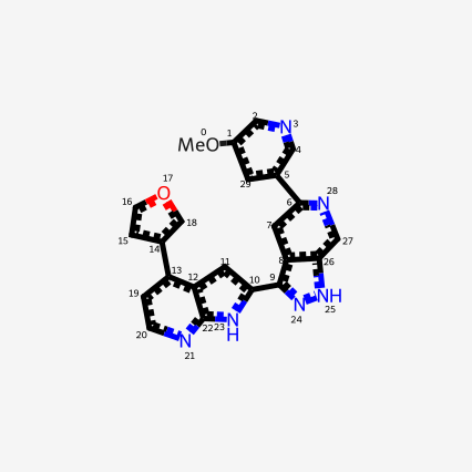 COc1cncc(-c2cc3c(-c4cc5c(-c6ccoc6)ccnc5[nH]4)n[nH]c3cn2)c1